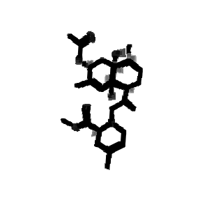 COC(=O)[C@@H]1CC(C)=CCN1CC(C)[C@@H]1CC[C@@H](C)[C@]2(O)[CH][C@@H](OC(C)=O)C(C)=C[C@H]12